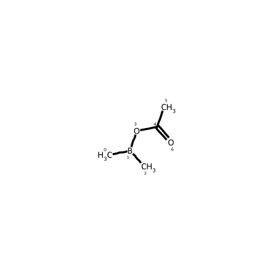 CB(C)OC(C)=O